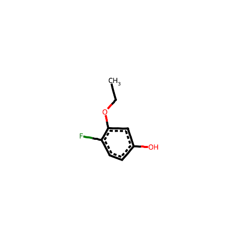 CCOc1cc(O)ccc1F